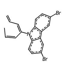 C=C/C=C(\C=C/C)n1c2ccc(Br)cc2c2cc(Br)ccc21